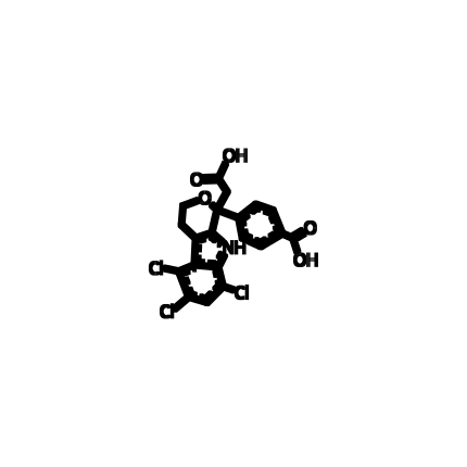 O=C(O)CC1(c2ccc(C(=O)O)cc2)OCCc2c1[nH]c1c(Cl)cc(Cl)c(Cl)c21